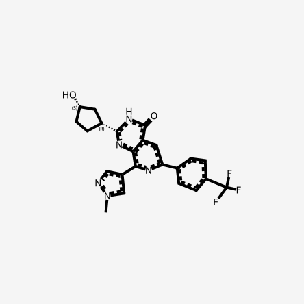 Cn1cc(-c2nc(-c3ccc(C(F)(F)F)cc3)cc3c(=O)[nH]c([C@@H]4CC[C@H](O)C4)nc23)cn1